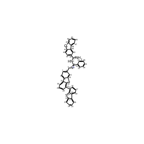 NC(N/C(=N\Cc1ccc2c(c1)sc1c(-c3cccc4c3sc3ccccc34)cccc12)c1ccccc1)c1ccc2oc3ccccc3c2c1